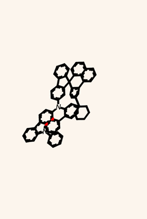 c1ccc(-c2ccccc2N(c2ccc3c(c2)C2(c4ccccc4-3)c3ccc(C4CCCCC4)cc3-c3cccc4cccc2c34)c2ccc3c4ccccc4n(-c4ccccc4)c3c2)cc1